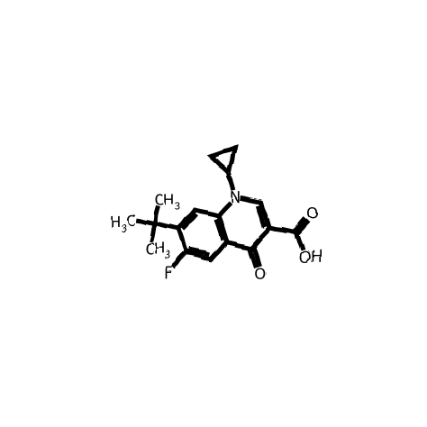 CC(C)(C)c1cc2c(cc1F)c(=O)c(C(=O)O)cn2C1CC1